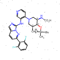 C[C@H]1CN(c2ccncc2Nc2ncc3ccc(-c4c(F)cccc4F)nn23)C[C@@H](NC(=O)O)[C@H]1O[Si](C)(C)C(C)(C)C